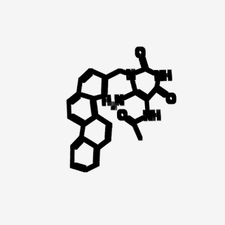 CC(=O)Nc1c(N)n(Cc2ccc3ccc4c5ccccc5ccc4c3c2)c(=O)[nH]c1=O